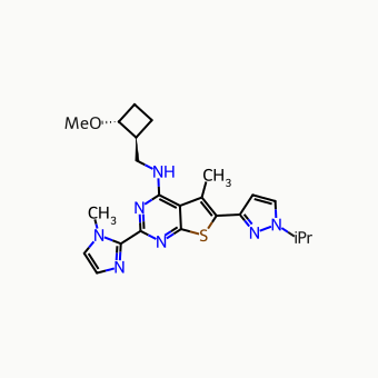 CO[C@@H]1CC[C@H]1CNc1nc(-c2nccn2C)nc2sc(-c3ccn(C(C)C)n3)c(C)c12